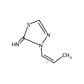 C/C=C\n1ncsc1=N